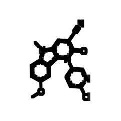 COc1ccc2c(c1)c1c(cc(C#N)c(=O)n1-c1ccc(Cl)nc1)n2C